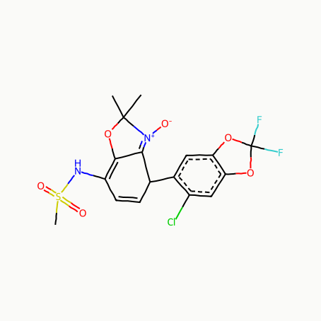 CC1(C)OC2=C(NS(C)(=O)=O)C=CC(c3cc4c(cc3Cl)OC(F)(F)O4)C2=[N+]1[O-]